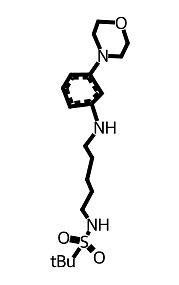 CC(C)(C)S(=O)(=O)NCCCCCNc1cccc(N2CCOCC2)c1